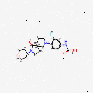 O=C(O)Nc1ccc(N2CCC[C@@]3(CCN(C4CCOCC4)C3=O)C2)c(F)c1